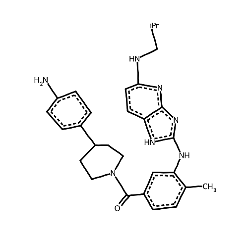 Cc1ccc(C(=O)N2CCC(c3ccc(N)cc3)CC2)cc1Nc1nc2nc(NCC(C)C)ccc2[nH]1